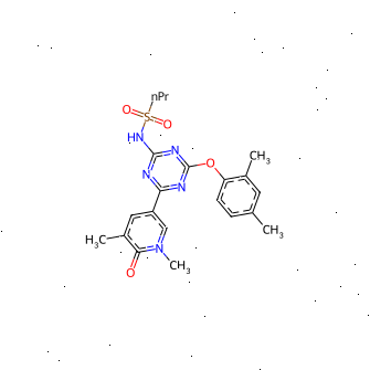 CCCS(=O)(=O)Nc1nc(Oc2ccc(C)cc2C)nc(-c2cc(C)c(=O)n(C)c2)n1